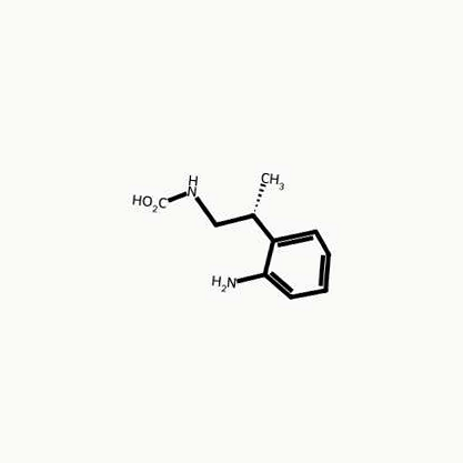 C[C@@H](CNC(=O)O)c1ccccc1N